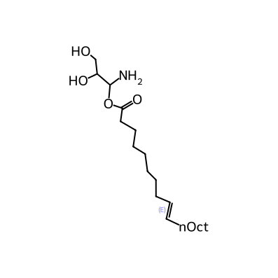 CCCCCCCC/C=C/CCCCCCCC(=O)OC(N)C(O)CO